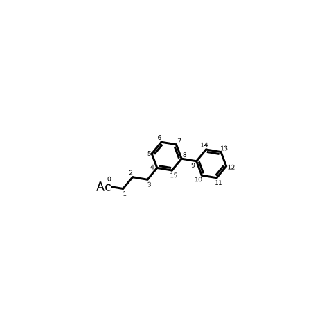 CC(=O)CCCc1cccc(-c2ccccc2)c1